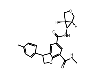 CNC(=O)c1cc(C(=O)N[C@H]2[C@@H]3COC[C@@H]32)cc2c1OCC2c1ccc(C)cc1